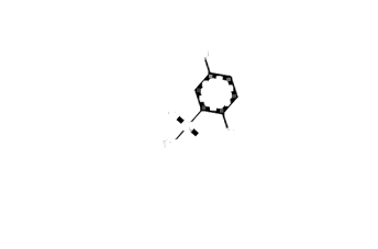 CC(C)S(=O)(=O)c1cc(Cl)ccc1Cl